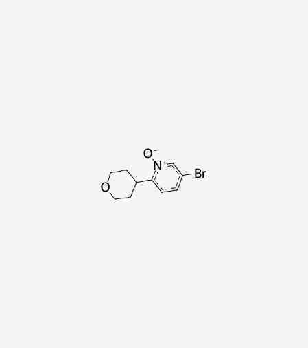 [O-][n+]1cc(Br)ccc1C1CCOCC1